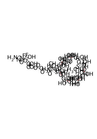 CCSCC1O[C@@H]2O[C@@H]3C(CO)O[C@@H](O[C@@H]4C(CO)OC(O[C@@H]5C(CSC[C@@H](NC(C)(C)CC)C(=O)NCCC(=O)OCC(=O)OCOP(=O)(O)OC[C@H]6O[C@@H](n7ccc(N)nc7=O)C(F)(F)[C@@H]6O)OC(O[C@@H]6C(CO)O[C@H](O[C@@H]7C(CO)O[C@H](O[C@@H]8C(CO)O[C@H](O[C@H]1[C@H](O)C2O)C(O)[C@H]8O)[C@@H](O)C7O)[C@@H](O)C6O)C(O)[C@H]5O)C(O)[C@H]4O)C(O)[C@H]3O